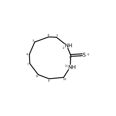 S=C1NCCCCCCCCN1